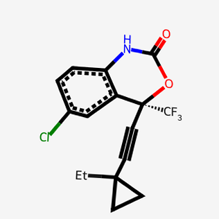 CCC1(C#C[C@]2(C(F)(F)F)OC(=O)Nc3ccc(Cl)cc32)CC1